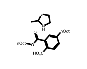 CC1NCCS1.CCCCCCCCOC(=O)c1cc(CCCCCCCC)ccc1C(=O)O